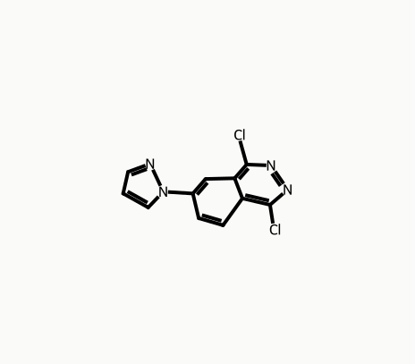 Clc1nnc(Cl)c2cc(-n3cccn3)ccc12